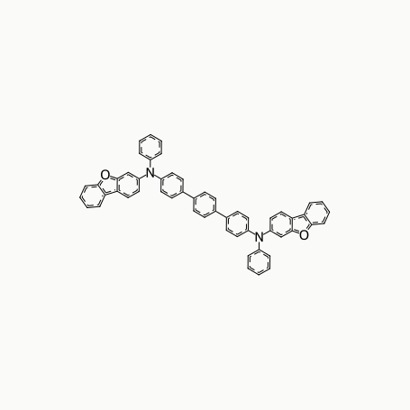 c1ccc(N(c2ccc(-c3ccc(-c4ccc(N(c5ccccc5)c5ccc6c(c5)oc5ccccc56)cc4)cc3)cc2)c2ccc3c(c2)oc2ccccc23)cc1